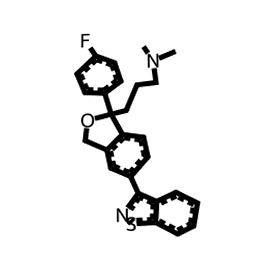 CN(C)CCCC1(c2ccc(F)cc2)OCc2cc(-c3nsc4ccccc34)ccc21